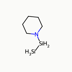 [SiH3][SiH2]N1CCCCC1